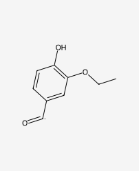 CCOc1cc([C]=O)ccc1O